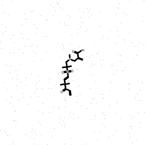 C=CC(=O)C(C)(C)/C=C/S(=O)(=O)C(C)(C)CN(C)CC(=C)C(=O)C(C)C